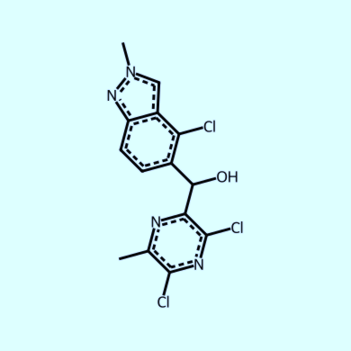 Cc1nc(C(O)c2ccc3nn(C)cc3c2Cl)c(Cl)nc1Cl